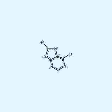 CCc1ncnc2sc(S)nc12